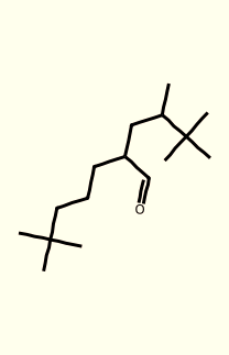 CC(CC(C=O)CCCC(C)(C)C)C(C)(C)C